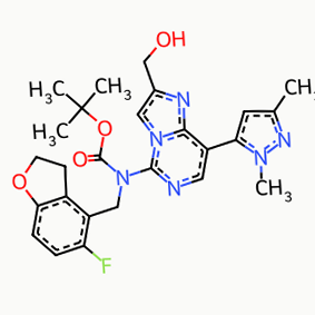 Cc1cc(-c2cnc(N(Cc3c(F)ccc4c3CCO4)C(=O)OC(C)(C)C)n3cc(CO)nc23)n(C)n1